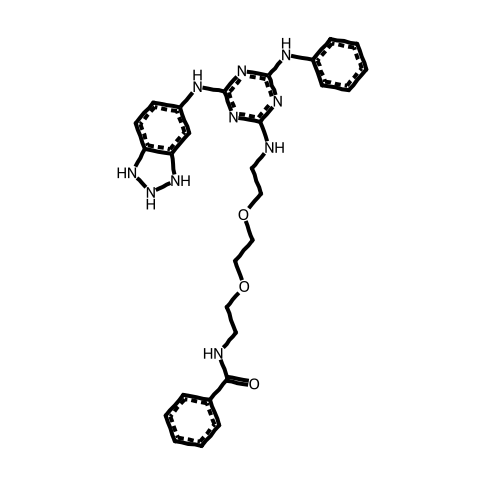 O=C(NCCOCCOCCNc1nc(Nc2ccccc2)nc(Nc2ccc3c(c2)NNN3)n1)c1ccccc1